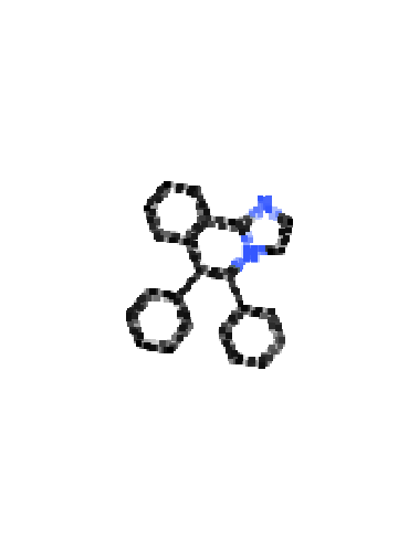 c1ccc(-c2c(-c3ccccc3)n3ccnc3c3ccccc23)cc1